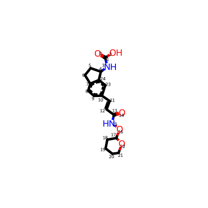 O=C(O)NC1CCc2ccc(C=CC(=O)NOC3CCCCO3)cc21